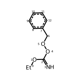 CCOC(=N)OOCc1ccccc1